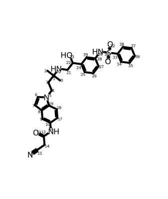 CC(C)(CCn1ccc2cc(NC(=O)CC#N)ccc21)NCC(O)c1cccc(NS(=O)(=O)c2ccccc2)c1